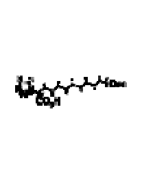 CCCCCCCCCCCCCCCCCCCC(C(=O)O)n1ccnn1